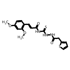 COc1ccc(C=CC(=O)NC(=S)NNC(=O)Cc2cccs2)c(OC)c1